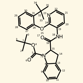 CC(C)(C)OC(=O)N1c2ccccc2CC1C(=O)Nc1cccnc1Oc1ccccc1C(C)(C)C